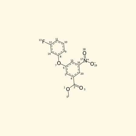 COC(=O)c1cc(Oc2cccc(F)c2)cc([N+](=O)[O-])c1